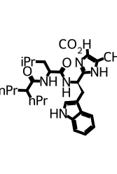 CCCC(CCC)C(=O)NC(CC(C)C)C(=O)N[C@H](Cc1c[nH]c2ccccc12)c1nc(C(=O)O)c(C)[nH]1